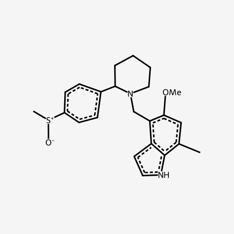 COc1cc(C)c2[nH]ccc2c1CN1CCCCC1c1ccc([S+](C)[O-])cc1